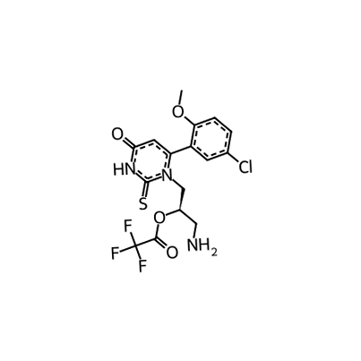 COc1ccc(Cl)cc1-c1cc(=O)[nH]c(=S)n1C[C@@H](CN)OC(=O)C(F)(F)F